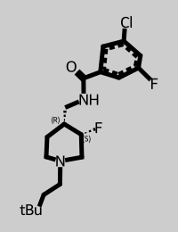 CC(C)(C)CCN1CC[C@H](CNC(=O)c2cc(F)cc(Cl)c2)[C@H](F)C1